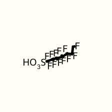 O=S(=O)(O)C(F)(F)C(F)(F)C(F)(F)C(F)(F)C(F)(F)C(F)CF